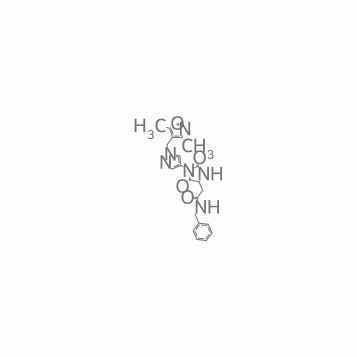 Cc1noc(C)c1Cn1cc(N2C(=O)NC(CC(=O)NCc3ccccc3)C2=O)cn1